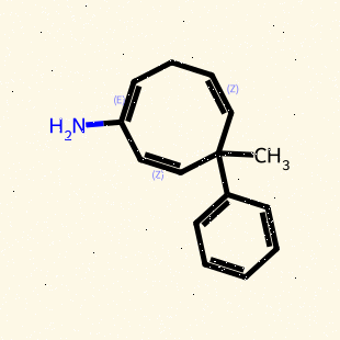 CC1(c2ccccc2)/C=C\C/C=C(N)\C=C/1